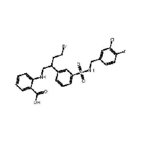 O=C(O)c1ccccc1NCC(CCBr)c1cccc(S(=O)(=O)NCc2ccc(F)c(Cl)c2)c1